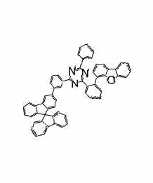 c1ccc(-c2nc(-c3cccc(-c4ccc5c(c4)-c4ccccc4C54c5ccccc5-c5ccccc54)c3)nc(-c3ccccc3-c3cccc4c3oc3ccccc34)n2)cc1